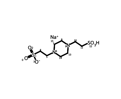 O=S(=O)([O-])CCN1CCN(CCS(=O)(=O)O)CC1.[Na+]